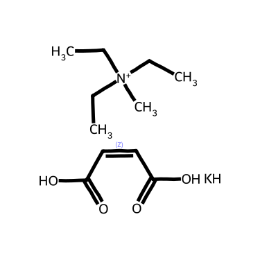 CC[N+](C)(CC)CC.O=C(O)/C=C\C(=O)O.[KH]